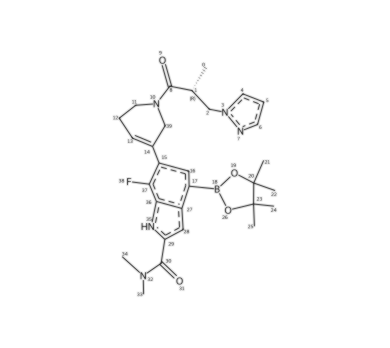 C[C@H](Cn1cccn1)C(=O)N1CCC=C(c2cc(B3OC(C)(C)C(C)(C)O3)c3cc(C(=O)N(C)C)[nH]c3c2F)C1